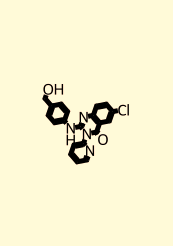 O=c1c2cc(Cl)ccc2nc(Nc2ccc(CO)cc2)n1-c1ccccn1